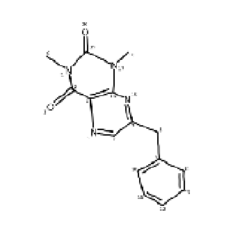 Cn1c(=O)c2ncc(Cc3ccccc3)nc2n(C)c1=O